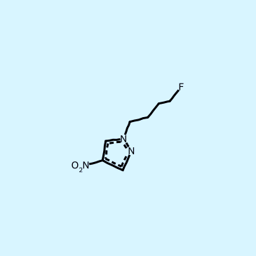 O=[N+]([O-])c1cnn(CCCCF)c1